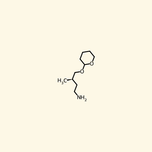 C[C@H](CCN)COC1CCCCO1